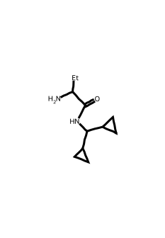 CCC(N)C(=O)NC(C1CC1)C1CC1